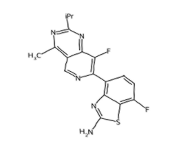 Cc1nc(C(C)C)nc2c(F)c(-c3ccc(F)c4sc(N)nc34)ncc12